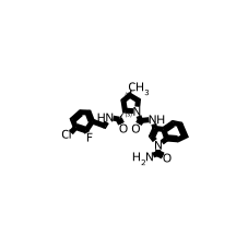 C[C@H]1C[C@@H](C(=O)NCc2cccc(Cl)c2F)N(C(=O)Nc2cn(C(N)=O)c3ccccc23)C1